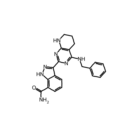 NC(=O)c1cccc2c(-c3nc4c(c(NCc5ccccc5)n3)CCCN4)n[nH]c12